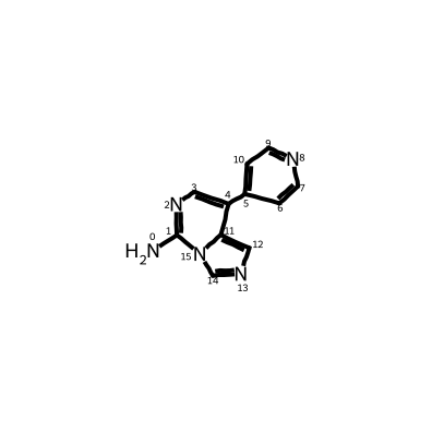 Nc1ncc(-c2ccncc2)c2cncn12